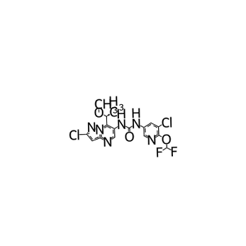 CO[C@@H](C)c1c(NC(=O)Nc2cnc(OC(F)F)c(Cl)c2)cnc2cc(Cl)nn12